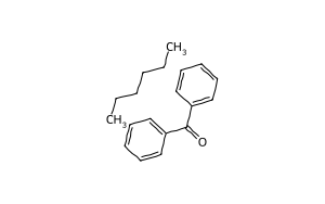 CCCCCC.O=C(c1ccccc1)c1ccccc1